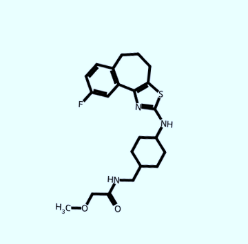 COCC(=O)NCC1CCC(Nc2nc3c(s2)CCCc2ccc(F)cc2-3)CC1